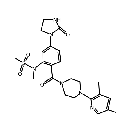 Cc1cnc(N2CCN(C(=O)c3ccc(N4CCNC4=O)cc3N(C)S(C)(=O)=O)CC2)c(C)c1